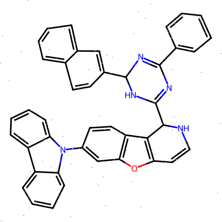 C1=Cc2oc3cc(-n4c5ccccc5c5ccccc54)ccc3c2C(C2=NC(c3ccccc3)=NC(c3ccc4ccccc4c3)N2)N1